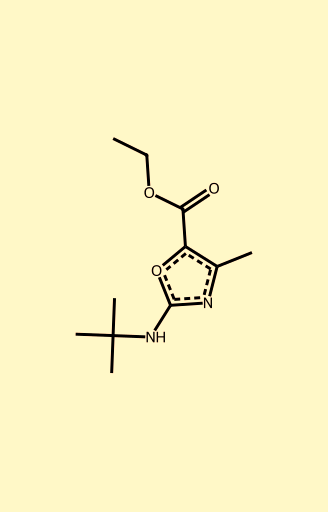 CCOC(=O)c1oc(NC(C)(C)C)nc1C